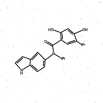 CC(C)c1cc(C(=O)N(c2ccc3[nH]ccc3c2)C(C)C)c(O)cc1O